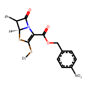 CCSC1=C(C(=O)OCc2ccc([N+](=O)[O-])cc2)N2C(=O)C(C(C)C)[C@@H]2S1